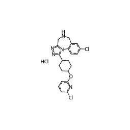 Cl.Clc1ccc2c(c1)CNCc1nnc(C3CCC(Oc4cccc(Cl)n4)CC3)n1-2